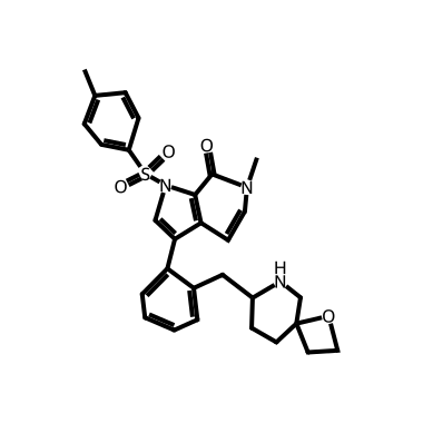 Cc1ccc(S(=O)(=O)n2cc(-c3ccccc3CC3CCC4(CCO4)CN3)c3ccn(C)c(=O)c32)cc1